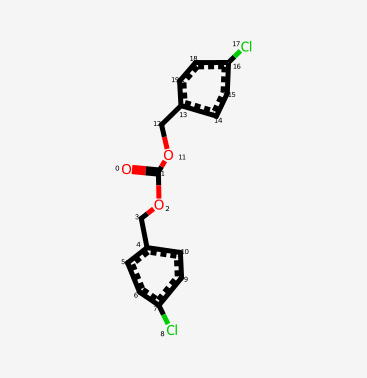 O=C(OCc1ccc(Cl)cc1)OCc1ccc(Cl)cc1